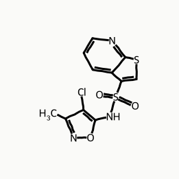 Cc1noc(NS(=O)(=O)c2csc3ncccc23)c1Cl